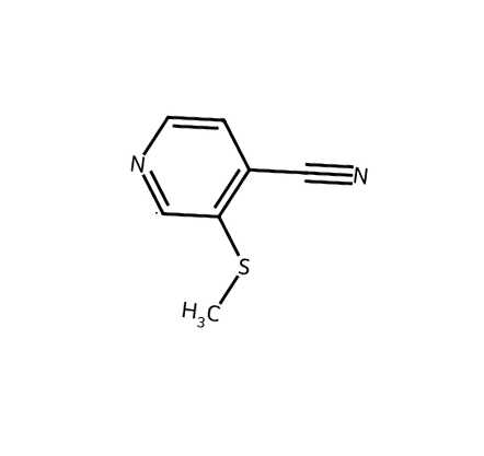 CSc1[c]nccc1C#N